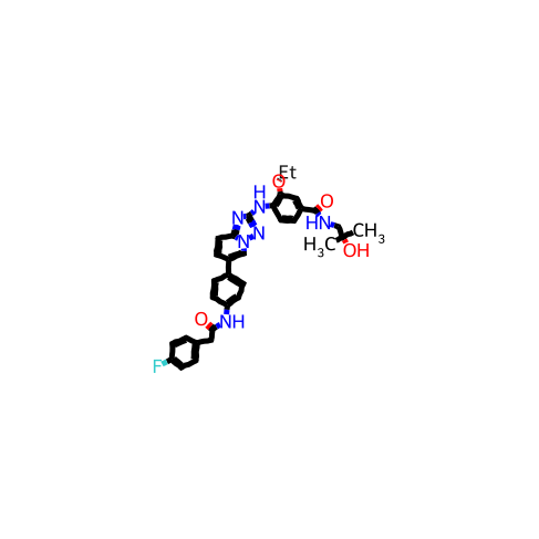 CCOc1cc(C(=O)NCC(C)(C)O)ccc1Nc1nc2ccc(-c3ccc(NC(=O)Cc4ccc(F)cc4)cc3)cn2n1